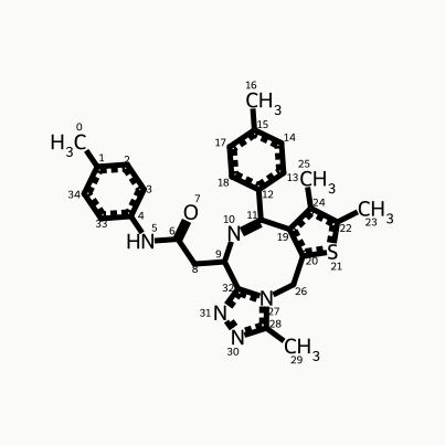 Cc1ccc(NC(=O)CC2/N=C(/c3ccc(C)cc3)c3c(sc(C)c3C)Cn3c(C)nnc32)cc1